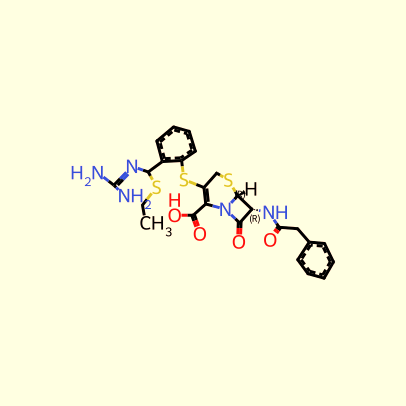 CCSC(N=C(N)N)c1ccccc1SC1=C(C(=O)O)N2C(=O)[C@@H](NC(=O)Cc3ccccc3)[C@H]2SC1